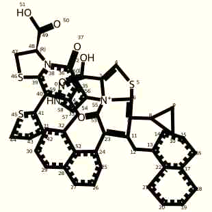 O=C(O)C1=CSC2=C(C3CC3)C(Cc3cccc4ccccc34)=C(c3cccc4cccc(Cc5cc(=O)n6c(c5-c5cccs5)SC[C@H]6C(=O)O)c34)C(=O)[N+]12c1c[nH]nn1